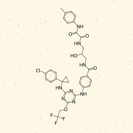 Cc1ccc(NC(=O)C(=O)NCC(O)CNC(=O)c2ccc(Nc3nc(NC4(c5ccc(Cl)cc5)CC4)nc(OCC(F)(F)F)n3)cc2)cc1